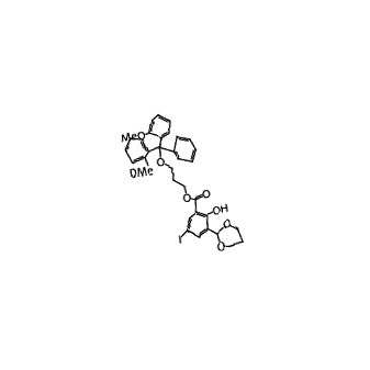 COc1ccccc1C(OCCCOC(=O)c1cc(I)cc(C2OCCCO2)c1O)(c1ccccc1)c1ccccc1OC